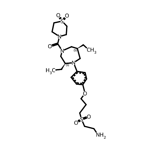 CC[C@@H]1CN(C(=O)N2CCS(=O)(=O)CC2)C[C@H](CC)N(c2ccc(OCCCS(=O)(=O)CCN)cc2)C1